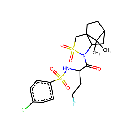 CC1(C)C2CCC13CS(=O)(=O)N(C(=O)[C@@H](CCF)NS(=O)(=O)c1ccc(Cl)cc1)C3C2